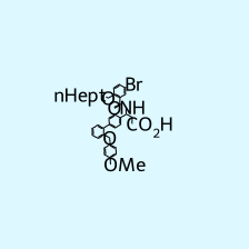 CCCCCCCOc1ccc(Br)cc1C(=O)NC(CC(=O)O)c1ccc(-c2ccccc2Oc2ccc(OC)cc2)cc1